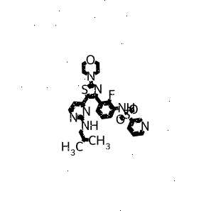 CC(C)CNc1nccc(-c2sc(N3CCOCC3)nc2-c2cccc(NS(=O)(=O)c3cccnc3)c2F)n1